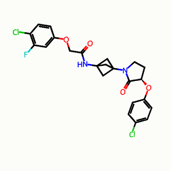 O=C(COc1ccc(Cl)c(F)c1)NC12CC(N3CC[C@@H](Oc4ccc(Cl)cc4)C3=O)(C1)C2